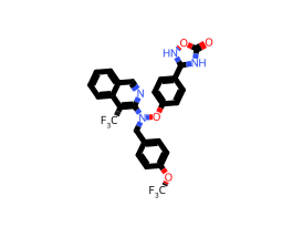 O=C1NC(c2ccc(ON(Cc3ccc(OC(F)(F)F)cc3)c3ncc4ccccc4c3C(F)(F)F)cc2)NO1